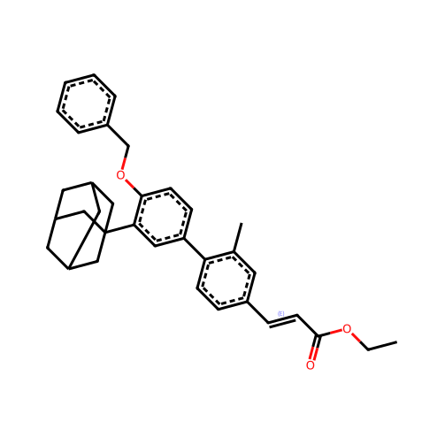 CCOC(=O)/C=C/c1ccc(-c2ccc(OCc3ccccc3)c(C34CC5CC(CC(C5)C3)C4)c2)c(C)c1